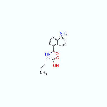 CCCC[C@H](NC(=O)c1cccc2c(N)cccc12)C(=O)O